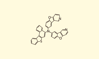 c1ccc2c(c1)sc1cc(N(c3ccc4oc5ccncc5c4c3)c3ccc4oc5ccncc5c4c3)c3ccccc3c12